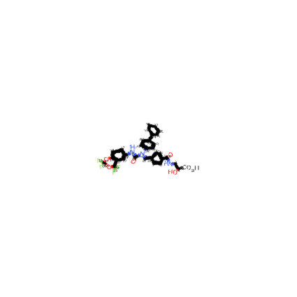 O=C(NCC(O)C(=O)O)c1ccc(CN(C(=O)Nc2ccc3c(c2)C(F)(F)OC(F)(F)O3)c2ccc(C3CCCCC3)cc2)cc1